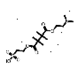 CN(C)CCOC(=O)C(C)(C)C(C)(C)C(=O)OCCS(=O)(=O)O